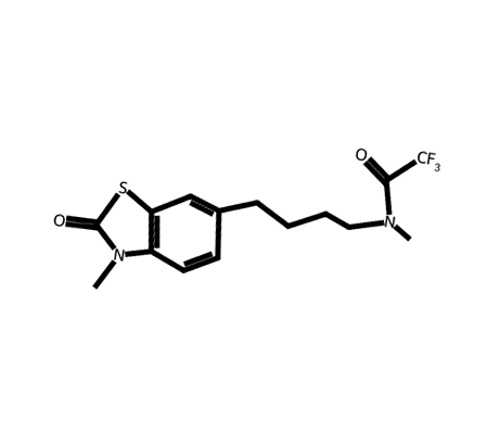 CN(CCCCc1ccc2c(c1)sc(=O)n2C)C(=O)C(F)(F)F